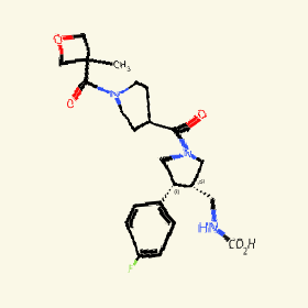 CC1(C(=O)N2CCC(C(=O)N3C[C@H](CNC(=O)O)[C@H](c4ccc(F)cc4)C3)CC2)COC1